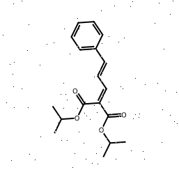 CC(C)OC(=O)C(=C/C=C/c1ccccc1)C(=O)OC(C)C